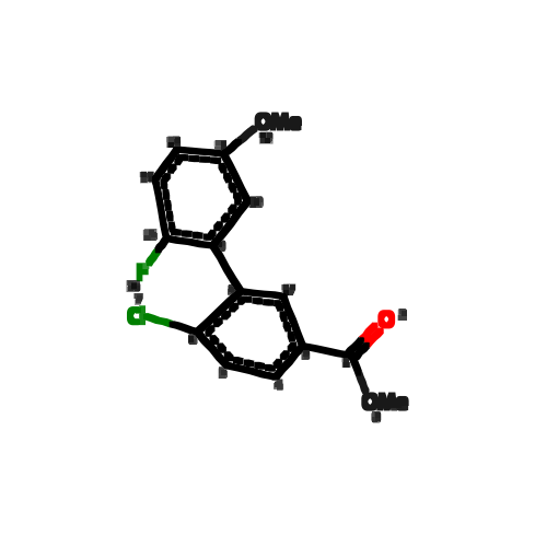 COC(=O)c1ccc(Cl)c(-c2cc(OC)ccc2F)c1